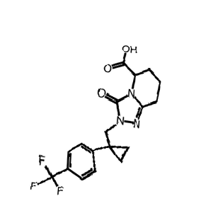 O=C(O)C1CCCc2nn(CC3(c4ccc(C(F)(F)F)cc4)CC3)c(=O)n21